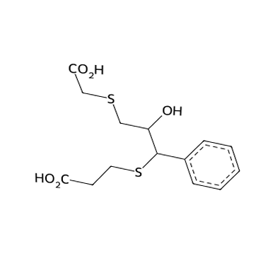 O=C(O)CCSC(c1ccccc1)C(O)CSCC(=O)O